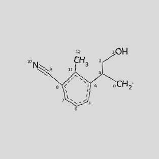 [CH2]C(CO)c1cccc(C#N)c1C